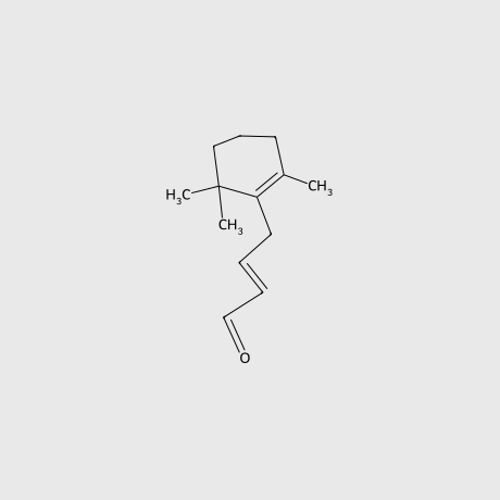 CC1=C(CC=CC=O)C(C)(C)CCC1